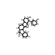 Cc1ccnc(-c2c(C)ccc3c2oc2c4c(ccc23)C(C)(C)c2ccccc2-4)c1